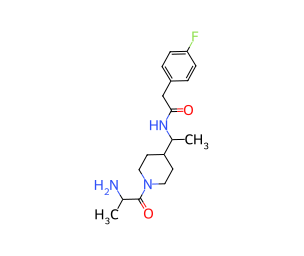 CC(N)C(=O)N1CCC(C(C)NC(=O)Cc2ccc(F)cc2)CC1